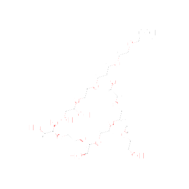 O=C(O)COCCOCC(COCCOC(O)CO)OCCOCC(COCCO)OCCOC(CO)OCCOC(O)CO